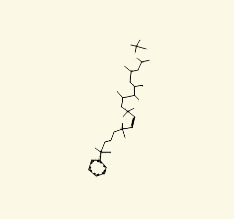 CC(CC(C)SC(C)(C)C)CC(C)C(C)C(C)CC(C)(C)/C=C\C(C)(C)CCCC(C)(C)c1ccccc1